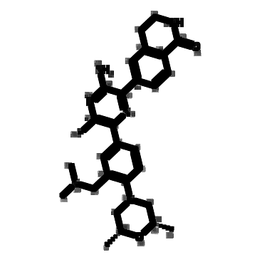 C[C@@H]1CN(c2ccc(-c3nc(-c4ccc5c(c4)CCNC5=O)c(N)nc3F)cc2CN(C)C)C[C@H](C)O1